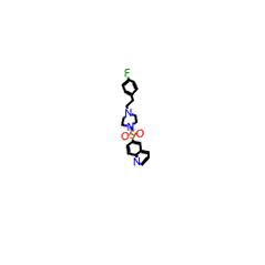 O=S(=O)(c1ccc2ncccc2c1)N1CCN(CCc2ccc(F)cc2)CC1